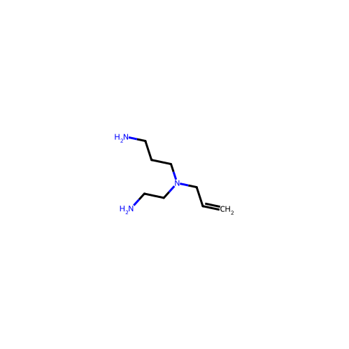 C=CCN(CCN)CCCN